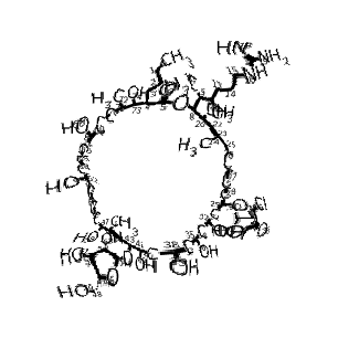 CCCCC1C(=O)OC(C(C)C(O)CCCNC(=N)N)C(C)/C=C(\C)CCCCC(O)CC(O)CC(O)CC(O)CC(O)C(O[C@H]2O[C@H](CO)[C@@H](O)[C@@H]2O)/C=C(\C)C(O)CCCC(O)CCCC(O)CCC(C)C1O.O=C(O)CCl